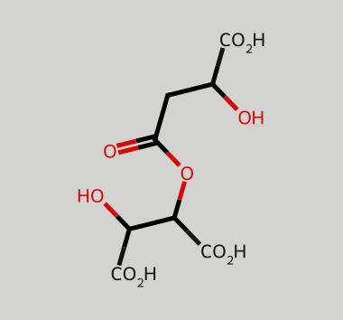 O=C(CC(O)C(=O)O)OC(C(=O)O)C(O)C(=O)O